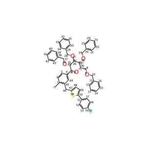 Cc1ccc([C@@H]2O[C@H](COCc3ccccc3)[C@@H](OCc3ccccc3)[C@H](OCc3ccccc3)[C@H]2OCc2ccccc2)cc1Cc1ccc(-c2ccc(F)cc2)s1